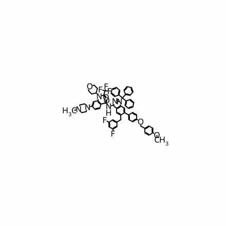 COc1ccc(COc2ccc(-c3cc4c(cc3Cc3cc(F)cc(F)c3)c(NC(=O)c3ccc(N5CCN(C)CC5)cc3N(C(=O)C(F)(F)F)C3CCOCC3)nn4C(c3ccccc3)(c3ccccc3)c3ccccc3)cc2)cc1